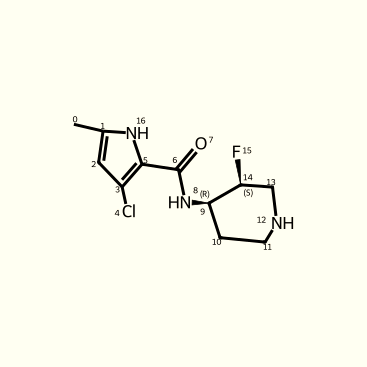 Cc1cc(Cl)c(C(=O)N[C@@H]2CCNC[C@@H]2F)[nH]1